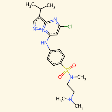 CC(C)c1cnn2c(Nc3ccc(S(=O)(=O)N(C)CCN(C)C)cc3)cc(Cl)nc12